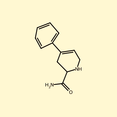 NC(=O)C1CC(c2ccccc2)=CCN1